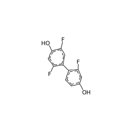 Oc1ccc(-c2cc(F)c(O)cc2F)c(F)c1